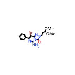 COC(CCn1nc2c(Br)c(-c3ccccc3)nc(N)n2c1=O)OC